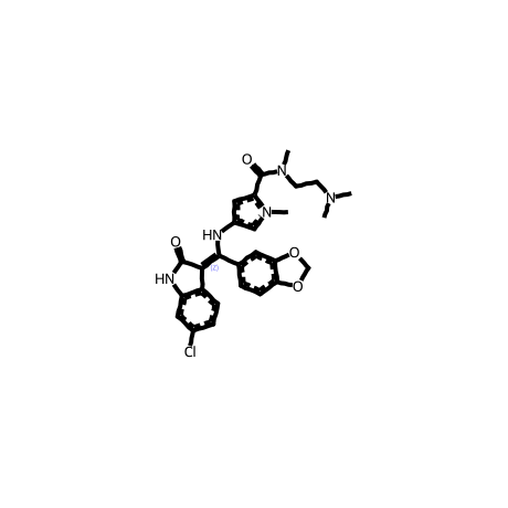 CN(C)CCN(C)C(=O)c1cc(N/C(=C2\C(=O)Nc3cc(Cl)ccc32)c2ccc3c(c2)OCO3)cn1C